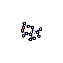 c1ccc(-c2cc(-c3ccccc3)cc(-c3nc(-c4cccc(-c5ccc(-n6c7ccccc7c7ccccc76)cc5)c4)cc(-c4cc(-c5ccc6c(c5)c5ccccc5n6-c5ccccc5)cc(-n5c6ccccc6c6ccccc65)c4)n3)c2)cc1